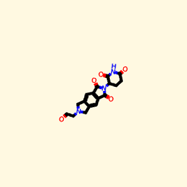 O=CCN1Cc2cc3c(cc2C1)C(=O)N(C1CCC(=O)NC1=O)C3=O